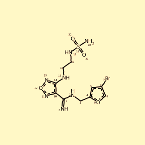 N=C(NCc1cc(Br)co1)c1nonc1NCCNS(N)(=O)=O